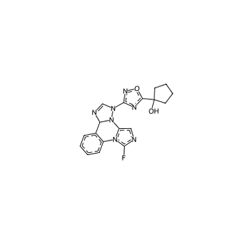 OC1(c2nc(N3C=NC4c5ccccc5-n5c(cnc5F)N43)no2)CCCC1